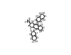 CN(C)c1ccc2c(-c3ccc4ccccc4c3)c3ccccc3c(-c3ccc4ccccc4c3)c2c1